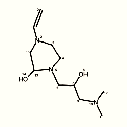 C=CN1CCN(CC(O)CN(C)C)C(O)C1